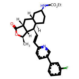 CCOC(=O)N[C@H]1CC[C@@H]2[C@@H](C1)C[C@H]1C(=O)O[C@H](C)[C@H]1[C@@H]2/C=C/c1ccc(-c2cccc(F)c2)cn1